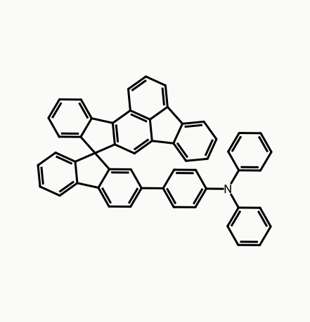 c1ccc(N(c2ccccc2)c2ccc(-c3ccc4c(c3)C3(c5ccccc5-4)c4ccccc4-c4c3cc3c5c(cccc45)-c4ccccc4-3)cc2)cc1